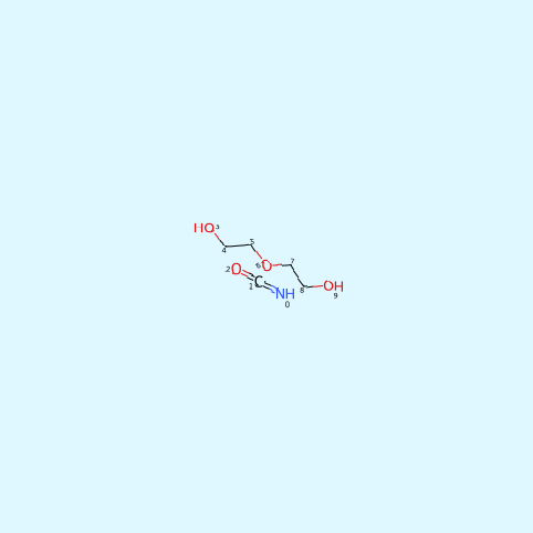 N=C=O.OCCOCCO